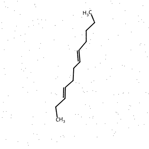 CCC=CCCC=CCCCC